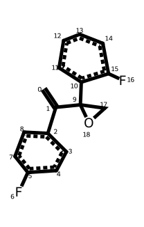 C=C(c1ccc(F)cc1)C1(c2ccccc2F)CO1